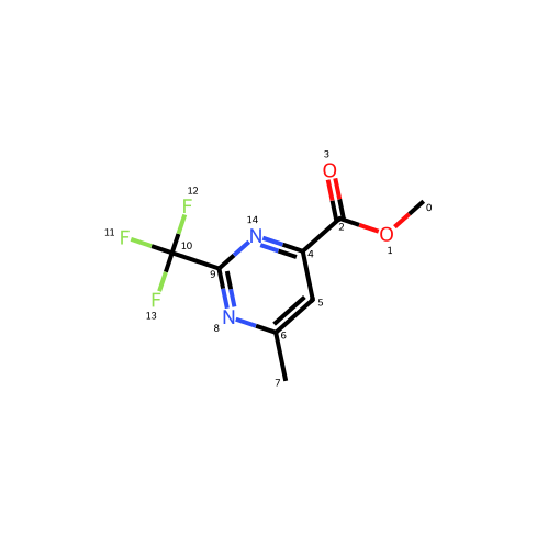 COC(=O)c1cc(C)nc(C(F)(F)F)n1